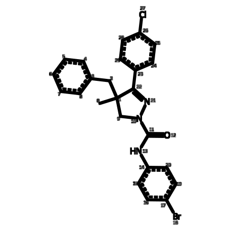 CC1(Cc2ccccc2)CN(C(=O)Nc2ccc(Br)cc2)N=C1c1ccc(Cl)cc1